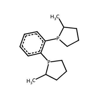 CC1CCCP1c1ccccc1P1CCCC1C